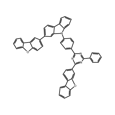 c1ccc(-c2nc(-c3ccc(-n4c5ccccc5c5ccc(-c6ccc7oc8ccccc8c7c6)cc54)cc3)nc(-c3ccc4c(c3)oc3ccccc34)n2)cc1